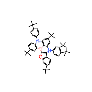 CC(C)(C)c1ccc(N2c3ccc(C(C)(C)C)cc3B3c4oc5cc(C(C)(C)C)ccc5c4N(c4ccc5c(c4)C(C)(C)CC5(C)C)c4cc(C(C)(C)C)cc2c43)cc1